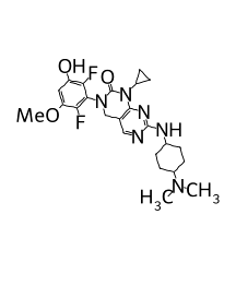 COc1cc(O)c(F)c(N2Cc3cnc(NC4CCC(N(C)C)CC4)nc3N(C3CC3)C2=O)c1F